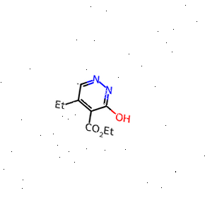 CCOC(=O)c1c(CC)[c]nnc1O